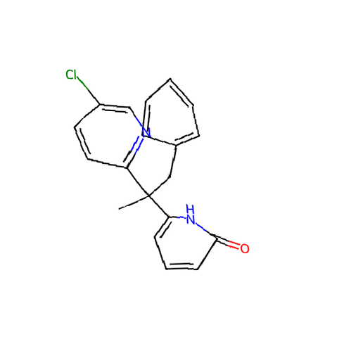 CC(Cc1ccccc1)(c1ccc(Cl)cn1)c1cccc(=O)[nH]1